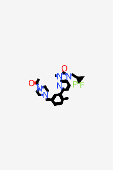 CC(=O)N1CCN(Cc2ccc(C)c(-c3ccc4c(n3)n(C)c(=O)n4CC3CC3(F)F)c2)CC1